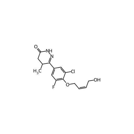 CC1CC(=O)NN=C1c1cc(F)c(OC/C=C\CO)c(Cl)c1